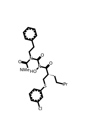 CNC(=O)N(CCc1ccccc1)C(=O)N(O)C(=O)[C@H](CCC(C)C)CSc1cccc(Cl)c1